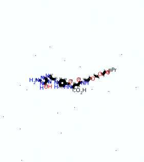 CCCOCCOCCOCCCNC(=O)CC[C@H](NC(=O)c1ccc(NCc2cnc3c(n2)C(O)NC(N)=N3)cc1)C(=O)O